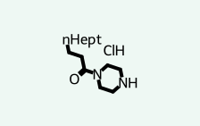 CCCCCCCCCC(=O)N1CCNCC1.Cl